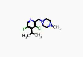 CC(C)c1c(F)cnc(CN2CCN(C)CC2)c1Cl